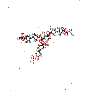 CCC(=O)Oc1ccc(-c2ccc(OC(=O)C(C)C(C(=O)Oc3ccc(-c4ccc(OC(C)=O)cc4)cc3)C(C)C(=O)Oc3ccc(-c4ccc(OC(=O)CC)cc4)cc3)cc2)cc1